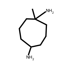 CC1(N)CCCC(N)CCC1